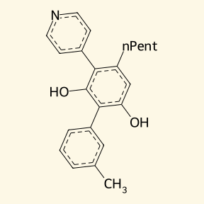 CCCCCc1cc(O)c(-c2cccc(C)c2)c(O)c1-c1ccncc1